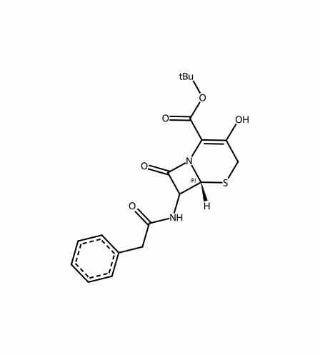 CC(C)(C)OC(=O)C1=C(O)CS[C@@H]2C(NC(=O)Cc3ccccc3)C(=O)N12